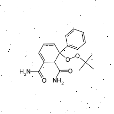 CC(C)(C)OOC1(c2ccccc2)C=CC=C(C(N)=O)C1C(N)=O